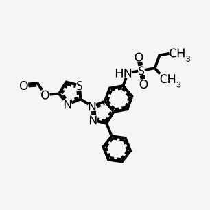 CCC(C)S(=O)(=O)Nc1ccc2c(-c3ccccc3)nn(-c3nc(OC=O)cs3)c2c1